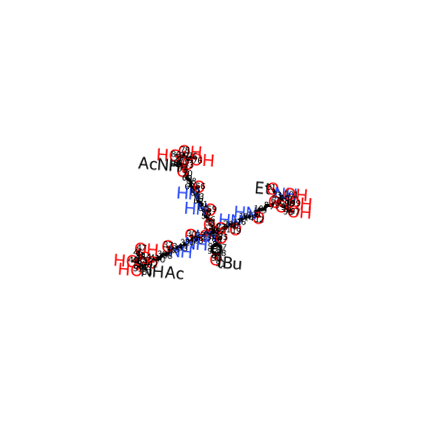 CCOCNC1C(OCCCCC(=O)NCCCNC(=O)CCOCC(COCCC(=O)NCCCNC(=O)CCCCOC2OC(CO)C(O)C(O)C2NC(C)=O)(COCCC(=O)NCCCNC(=O)CCCCOC2OC(CO)C(O)C(O)C2NC(C)=O)NC(=O)C2CCC(OC(C)(C)C)CC2)OC(CO)C(O)C1O